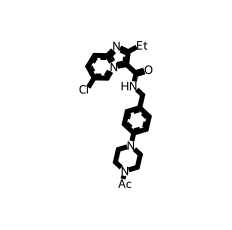 CCc1nc2ccc(Cl)cn2c1C(=O)NCc1ccc(N2CCN(C(C)=O)CC2)cc1